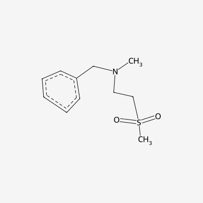 CN(CCS(C)(=O)=O)Cc1ccccc1